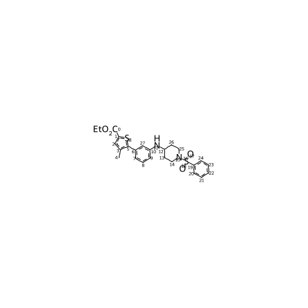 CCOC(=O)c1[c]c(C)c(-c2cccc(NC3CCN(S(=O)(=O)c4ccccc4)CC3)c2)s1